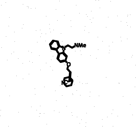 CNCCn1c2ccccc2c2ccc(OC/C=C3\CN4CCC3CC4)cc21